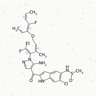 C=C/C(OC/C=C(C)\C(=C(\F)CC)n1ncc(C(=O)c2cc3cc(N[S+](C)[O-])c(Cl)cc3[nH]2)c1N)=C(F)\C=C/C